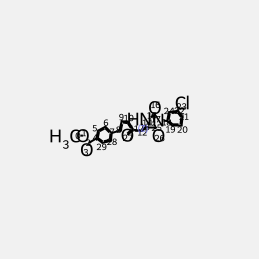 COC(=O)c1ccc(-c2ccc(/C=C3\NC(=O)N(c4cccc(Cl)c4)C3=O)o2)cc1